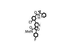 CNC(=O)c1c(-c2ccc(F)cc2)oc2ncc(-c3cc(C(=O)NC4(c5ccccn5)CC4)ccc3Cl)cc12